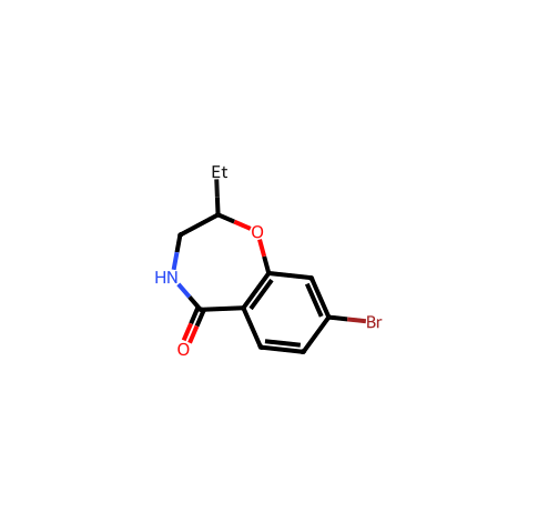 CCC1CNC(=O)c2ccc(Br)cc2O1